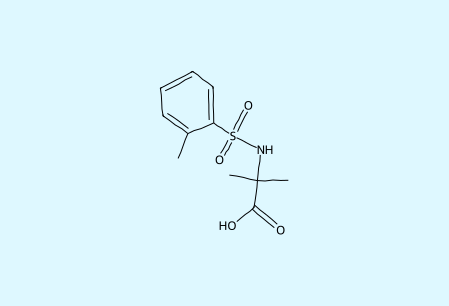 Cc1ccccc1S(=O)(=O)NC(C)(C)C(=O)O